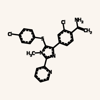 C=C(N)c1ccc(-c2nc(-c3ccccn3)n(C)c2Sc2ccc(Cl)cc2)cc1Cl